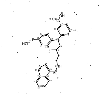 C[C@@H](NCCC1CN(c2cc(F)cc(C(=O)O)c2)c2ccc(F)cc2O1)c1cccc2ccccc12.Cl